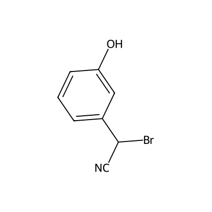 N#CC(Br)c1cccc(O)c1